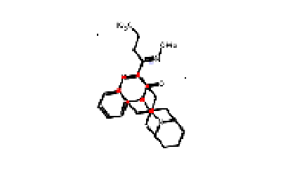 CO/N=C(\CCC(=O)O)c1nc2ccccc2n(C2CC3CCCC(C2)N3C2CC3CCCC(C3)C2)c1=O